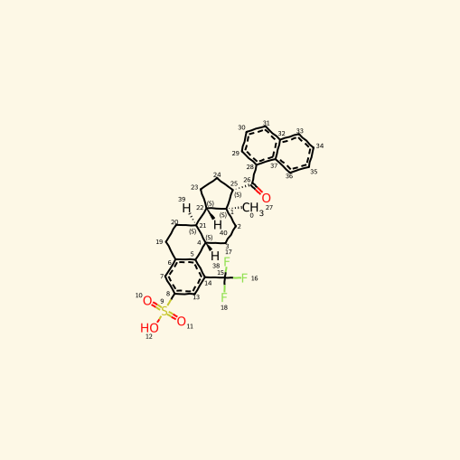 C[C@]12CC[C@@H]3c4c(cc(S(=O)(=O)O)cc4C(F)(F)F)CC[C@H]3[C@@H]1CC[C@@H]2C(=O)c1cccc2ccccc12